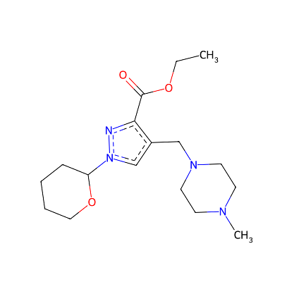 CCOC(=O)c1nn(C2CCCCO2)cc1CN1CCN(C)CC1